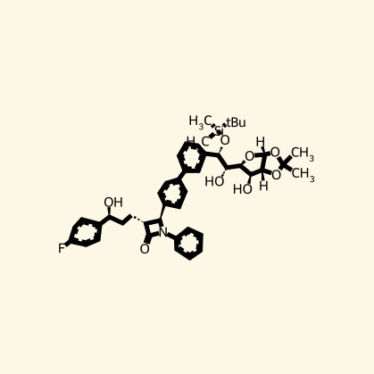 CC1(C)O[C@H]2O[C@H]([C@H](O)[C@@H](O[Si](C)(C)C(C)(C)C)c3cccc(-c4ccc([C@@H]5[C@@H](CC[C@H](O)c6ccc(F)cc6)C(=O)N5c5ccccc5)cc4)c3)[C@H](O)[C@H]2O1